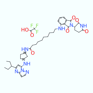 CCC(CC)c1cc(N[C@@H]2CC[C@@H](NC(=O)CCCCCCCCCNc3cccc4c3C(=O)N(C3CCC(=O)NC3=O)C4=O)C2)n2nccc2n1.O=C(O)C(F)(F)F